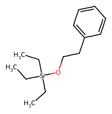 CC[Si](CC)(CC)OCCc1ccccc1